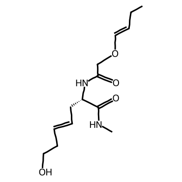 CC/C=C/OCC(=O)N[C@@H](C/C=C/CCO)C(=O)NC